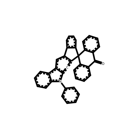 O=C1c2ccccc2C2(c3ccccc31)c1ccccc1-c1cc3c4ccccc4n(-c4ccccc4)c3cc12